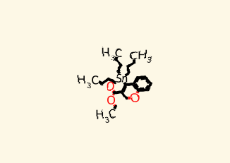 CCC[CH2][Sn]([CH2]CCC)([CH2]CCC)[C]1=C(C(=O)OCC)COc2ccccc21